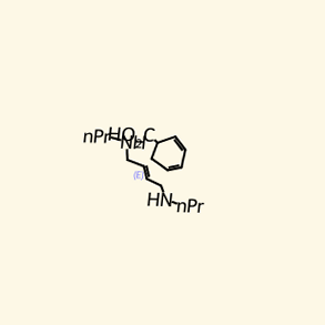 CCCNC/C=C/CNCCC.O=C(O)C1C=CC=CC1